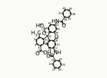 Cc1ccc(C(=O)O)cc1C1(OCO)c2ccc(NC(=O)c3ccccc3)cc2Oc2cc(NC(=O)c3ccccc3)ccc21